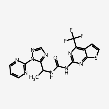 CC(NC(=O)Nc1nc(C(F)(F)F)c2ccsc2n1)c1ncnn1-c1ncccn1